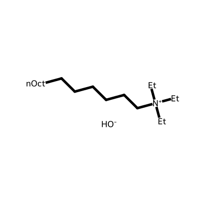 CCCCCCCCCCCCCC[N+](CC)(CC)CC.[OH-]